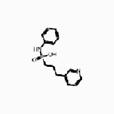 O=P(O)(CCCc1cccnc1)Nc1ccccc1